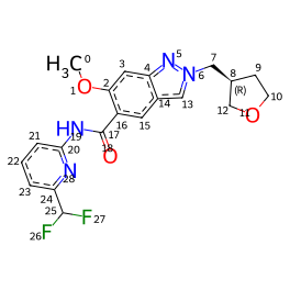 COc1cc2nn(C[C@H]3CCOC3)cc2cc1C(=O)Nc1cccc(C(F)F)n1